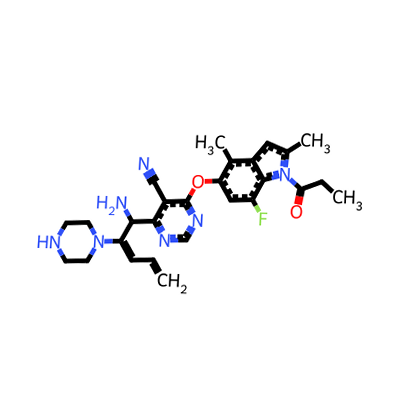 C=C/C=C(\C(N)c1ncnc(Oc2cc(F)c3c(cc(C)n3C(=O)CC)c2C)c1C#N)N1CCNCC1